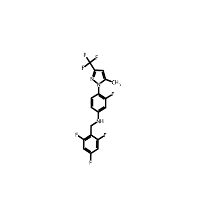 Cc1cc(C(F)(F)F)nn1-c1ccc(NCc2c(F)cc(F)cc2F)cc1F